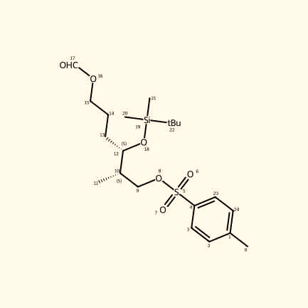 Cc1ccc(S(=O)(=O)OC[C@H](C)[C@H](CCCOC=O)O[Si](C)(C)C(C)(C)C)cc1